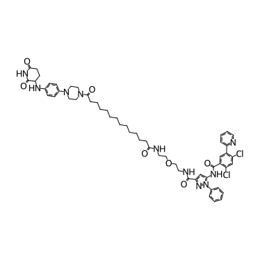 O=C(CCCCCCCCCCCCC(=O)N1CCN(c2ccc(NC3CCC(=O)NC3=O)cc2)CC1)NCCOCCNC(=O)c1cc(NC(=O)c2cc(-c3ccccn3)c(Cl)cc2Cl)n(-c2ccccc2)n1